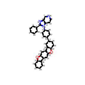 c1ccc(-c2nc3cnccc3n2-c2ccc(-c3ccc4oc5cc6c(cc5c4c3)oc3ccccc36)cc2)cc1